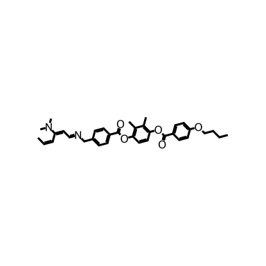 C\C=C/C(=C\C=N\Cc1ccc(C(=O)Oc2ccc(OC(=O)c3ccc(OCCCC)cc3)c(C)c2C)cc1)N(C)C